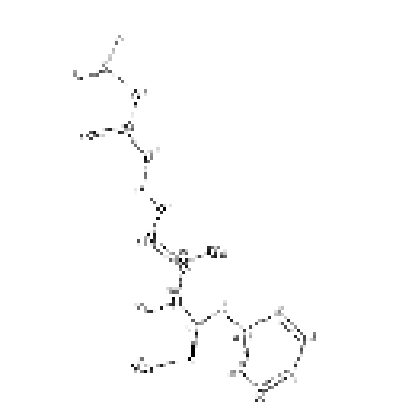 CC(C)OC(=O)OCON=[N+]([O-])N(C)[C@H](CO)Cc1ccccc1